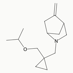 C=C1CC2CC1CN2CC1(COC(C)C)CC1